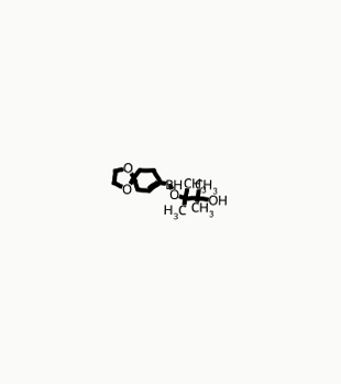 CC(C)(O)C(C)(C)OBC1=CCC2(CC1)OCCO2